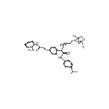 CC(C)c1ccc(NC(=O)C(NCCN2C[C@@H]3C[C@H]2CO3)c2ccc(C=CC(=O)Nc3ccccc3N)cc2)cc1